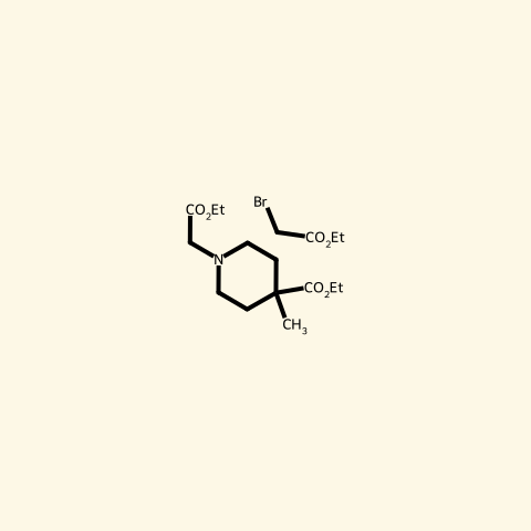 CCOC(=O)CBr.CCOC(=O)CN1CCC(C)(C(=O)OCC)CC1